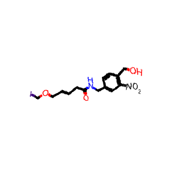 O=C(CCCCOCI)NCc1ccc(CO)c([N+](=O)[O-])c1